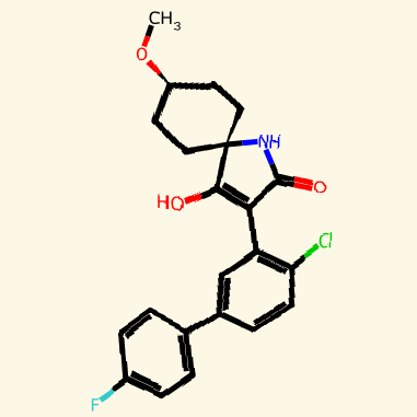 CO[C@H]1CC[C@@]2(CC1)NC(=O)C(c1cc(-c3ccc(F)cc3)ccc1Cl)=C2O